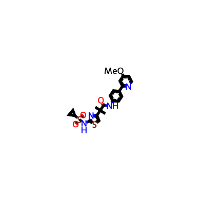 COc1ccnc(-c2ccc(NC(=O)C(C)(C)c3csc(NS(=O)(=O)C4CC4)n3)cc2)c1